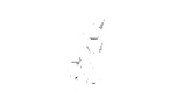 N#Cc1ccc(N2C[C@@H]3[C@@H]([C@@H]4O[C@H]3C[C@@H]4F)S2(=O)=O)cc1C(F)(F)F